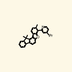 Cc1ccc2c(oc3ccc4c(c32)C(C)(C)c2ccccc2-4)c1-c1cc(C(C)C)ccn1